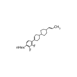 C/C=C/C1CCC(C2CC=C(c3ccc(CCCCCC)c(F)c3F)CC2)CC1